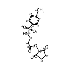 Cc1ccc(S(=O)(=O)NCCC(=O)ON2C(=O)CCC2=O)cc1